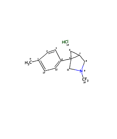 Cc1ccc(C23CC2CN(C(F)(F)F)C3)cc1.Cl